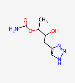 CC(OC(N)=O)C(O)Cc1c[nH]nn1